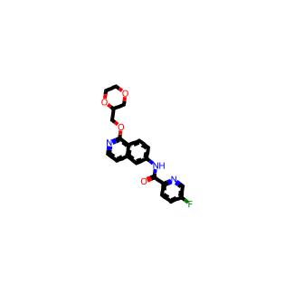 O=C(Nc1ccc2c(OCC3COCCO3)nccc2c1)c1ccc(F)cn1